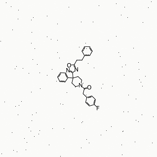 O=C(Cc1ccc(F)cc1)N1CCC(c2ccccc2)(c2noc(CCc3ccccc3)n2)CC1